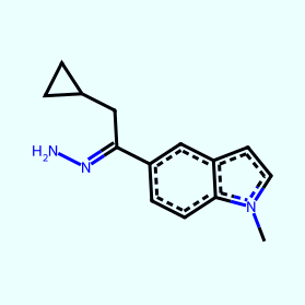 Cn1ccc2cc(C(CC3CC3)=NN)ccc21